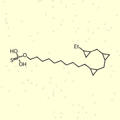 CCC1CC1CC1CC1CC1CC1CCCCCCCCCCOP(O)(O)=S